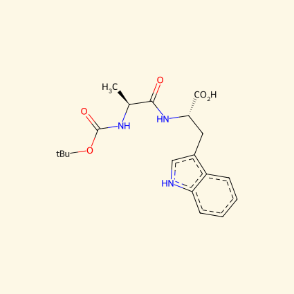 C[C@H](NC(=O)OC(C)(C)C)C(=O)N[C@@H](Cc1c[nH]c2ccccc12)C(=O)O